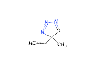 [CH]=CC1(C)C=NN=N1